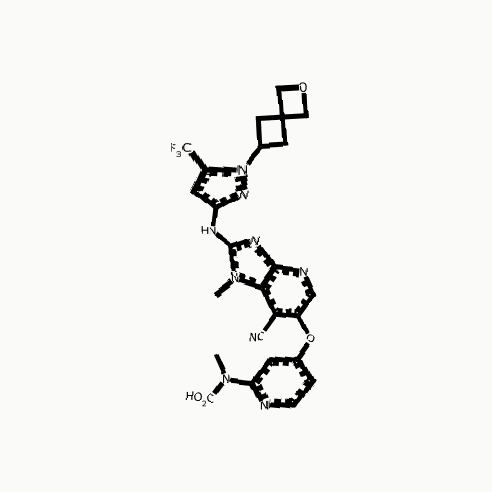 CN(C(=O)O)c1cc(Oc2cnc3nc(Nc4cc(C(F)(F)F)n(C5CC6(COC6)C5)n4)n(C)c3c2C#N)ccn1